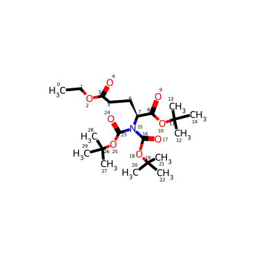 CCOC(=O)CC[C@@H](C(=O)OC(C)(C)C)N(C(=O)OC(C)(C)C)C(=O)OC(C)(C)C